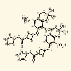 O=C(O)c1c(OC2CN(C(=O)Cn3cnnn3)C2)ccc2c1O[B-](O)(O)CC2.O=C(O)c1c(OC2CN(C(=O)Cn3cnnn3)C2)ccc2c1O[B-](O)(O)CC2.[Na+].[Na+]